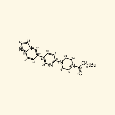 CC(C)(C)OC(=O)N1CCN(c2ccc(-c3ccc4nccn4c3)cn2)CC1